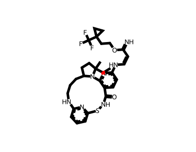 CCC1(C)CCC2CCCNc3cccc(n3)SNC(=O)c3ccc(N/C=C\C(=N)OCCC4(C(F)(F)F)CC4)nc3N21